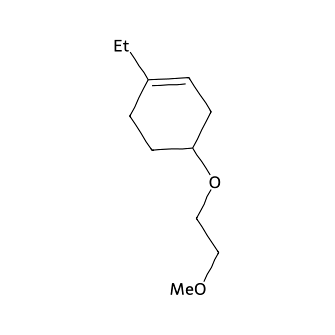 CCC1=CCC(OCCOC)CC1